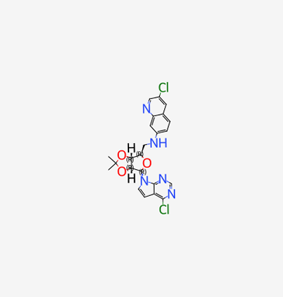 CC1(C)O[C@@H]2[C@H](O1)[C@@H](CNc1ccc3cc(Cl)cnc3c1)O[C@H]2n1ccc2c(Cl)ncnc21